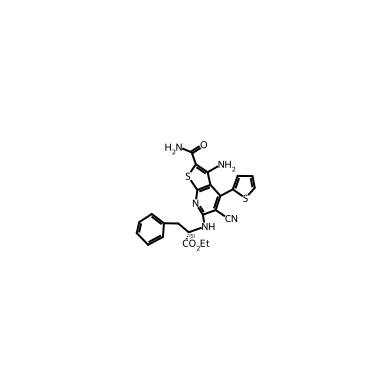 CCOC(=O)[C@H](Cc1ccccc1)Nc1nc2sc(C(N)=O)c(N)c2c(-c2cccs2)c1C#N